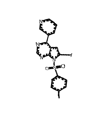 Cc1ccc(S(=O)(=O)n2c(I)cc3c(-c4cccnc4)ncnc32)cc1